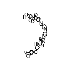 N#Cc1ccc(O[C@H]2CC[C@H](NC(=O)c3ncc(N4CCC(CN5CCC6(CC5)CN(c5ccc7c(c5)C(=O)N(C5CCC(=O)NC5=O)C7=O)C6)CC4)nn3)CC2)cc1Cl